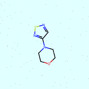 c1nsnc1N1CCOCC1